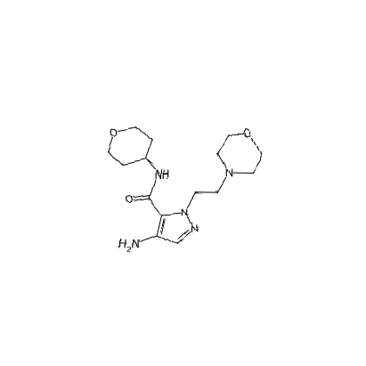 Nc1cnn(CCN2CCOCC2)c1C(=O)NC1CCOCC1